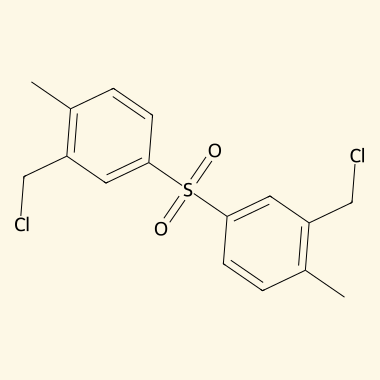 Cc1ccc(S(=O)(=O)c2ccc(C)c(CCl)c2)cc1CCl